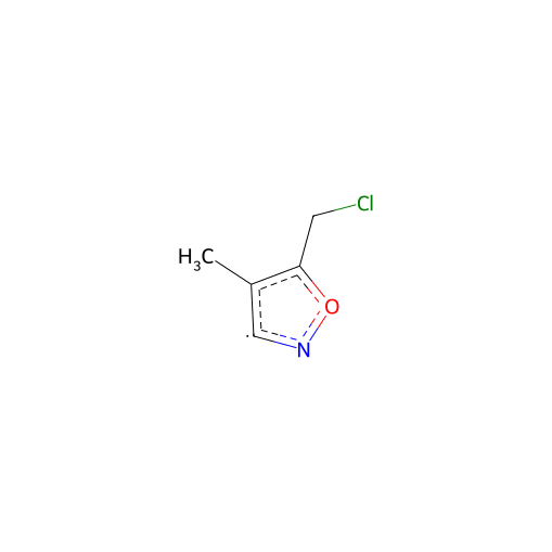 Cc1[c]noc1CCl